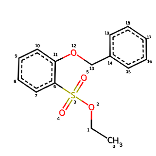 CCOS(=O)(=O)c1ccccc1OCc1ccccc1